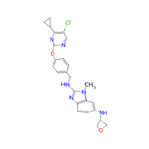 Cn1c(NCc2ccc(Oc3ncc(Cl)c(C4CC4)n3)cc2)nc2ccc(NC3COC3)cc21